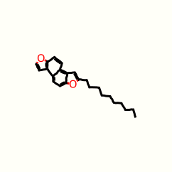 CCCCCCCCCCc1cc2c(ccc3c4ccoc4ccc23)o1